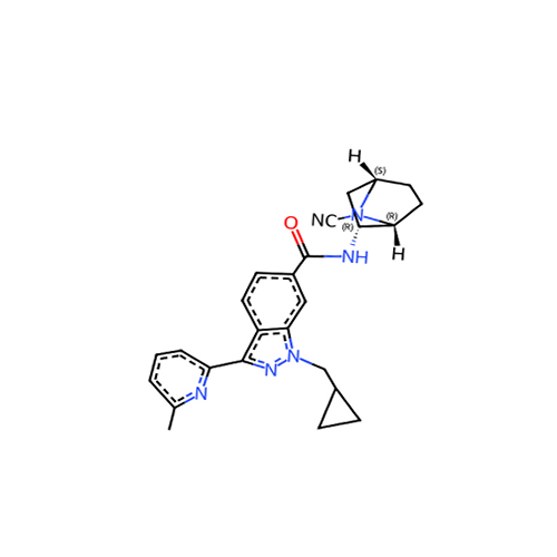 Cc1cccc(-c2nn(CC3CC3)c3cc(C(=O)N[C@@H]4C[C@@H]5CC[C@H]4N5C#N)ccc23)n1